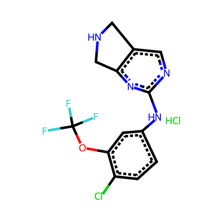 Cl.FC(F)(F)Oc1cc(Nc2ncc3c(n2)CNC3)ccc1Cl